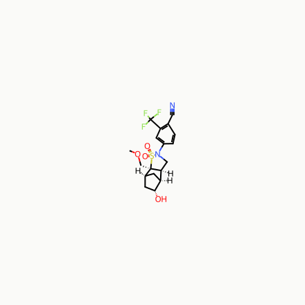 COC[C@@]12[C@H]3C[C@H]([C@H](O)C3)[C@@H]1CN(c1ccc(C#N)c(C(F)(F)F)c1)S2(=O)=O